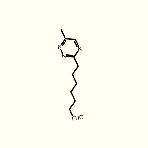 Cc1cnc(CCCCCCC=O)nn1